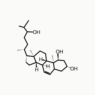 CC(C)C(O)CC[C@@H](C)[C@H]1CC[C@H]2[C@@H]3C=CC4C[C@@H](O)C[C@H](O)[C@]4(C)[C@H]3CC[C@]12C